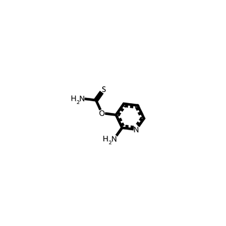 NC(=S)Oc1cccnc1N